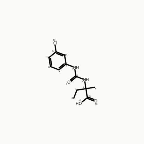 CCC(C)(NC(=O)Nc1cccc(Cl)c1)C(=O)O